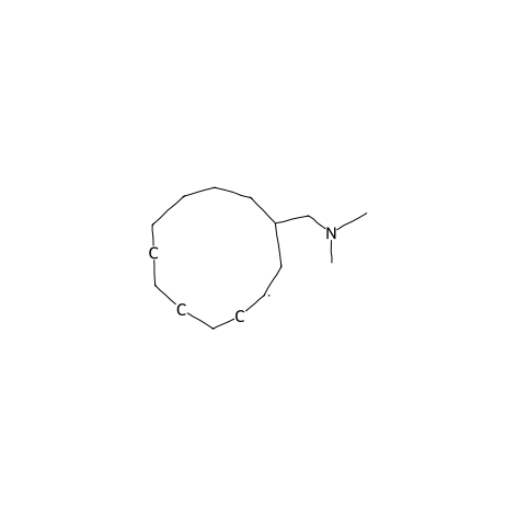 CN(C)CC1C[CH]CCCCCCCCC1